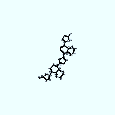 Cc1ccc(-c2ccc(-c3ccc(-c4ccc(-c5ccc(C)s5)c5nccnc45)s3)c3nccnc23)s1